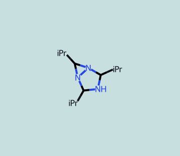 CC(C)C1NC(C(C)C)N2C(C(C)C)N12